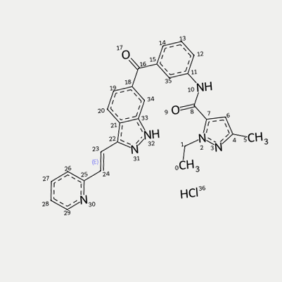 CCn1nc(C)cc1C(=O)Nc1cccc(C(=O)c2ccc3c(/C=C/c4ccccn4)n[nH]c3c2)c1.Cl